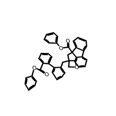 O=C(Oc1ccccc1)c1ccccc1-c1ccccc1CC1(CC2(C(=O)Oc3ccccc3)c3ccccc3-c3ccccc32)COC1